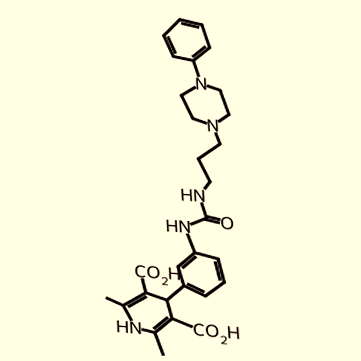 CC1=C(C(=O)O)C(c2cccc(NC(=O)NCCCN3CCN(c4ccccc4)CC3)c2)C(C(=O)O)=C(C)N1